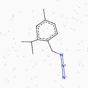 Cc1ccc(CN=[N+]=[N-])c(C(C)C)c1